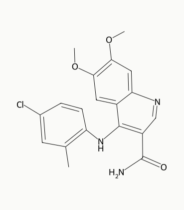 COc1cc2ncc(C(N)=O)c(Nc3ccc(Cl)cc3C)c2cc1OC